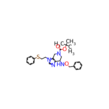 CC(C)(C)OC(=O)N1Cc2c(ncn2CCSc2ccccc2)C(NOCc2ccccc2)C1